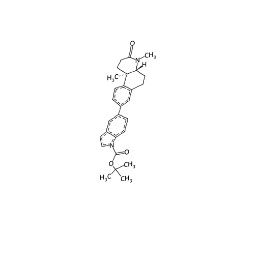 CN1C(=O)CC[C@]2(C)c3ccc(-c4ccc5c(ccn5C(=O)OC(C)(C)C)c4)cc3CC[C@@H]12